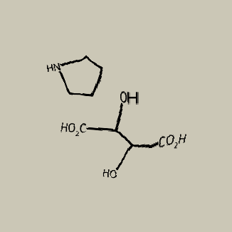 C1CCNC1.O=C(O)C(O)C(O)C(=O)O